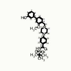 COc1cc(-c2cccc(O)c2)ccc1CN1CCN(c2ccc(C(=O)NS(=O)(=O)C(C)(C)C)cc2)CC1